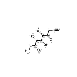 C#CCC(=O)[C@H](O)[C@@H](O)[C@@H](O)[C@H](O)CO